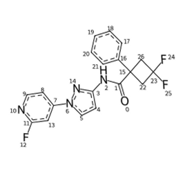 O=C(Nc1ccn(-c2ccnc(F)c2)n1)C1(c2ccccc2)CC(F)(F)C1